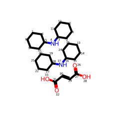 C1CCC(NC2CCCCC2)CC1.C1CCC(NC2CCCCC2)CC1.O=C(O)/C=C/C(=O)O